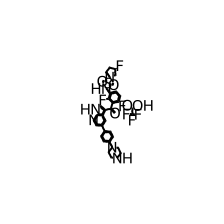 O=C(O)C(F)(F)F.O=C(c1c(F)ccc(NS(=O)(=O)N2CC[C@@H](F)C2)c1F)c1c[nH]c2ncc(-c3ccc(N4CCNCC4)cc3)cc12